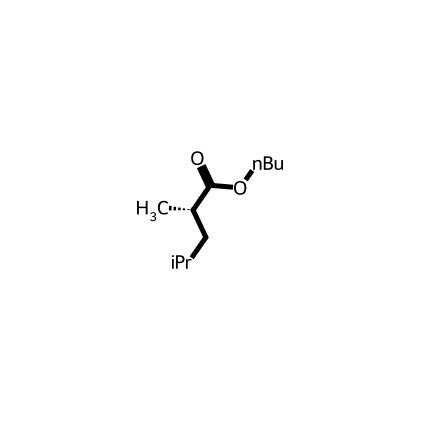 CCCCOC(=O)[C@@H](C)CC(C)C